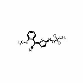 CSc1ccccc1/C(C#N)=C1C=C/C(=N\OS(C)(=O)=O)S/1